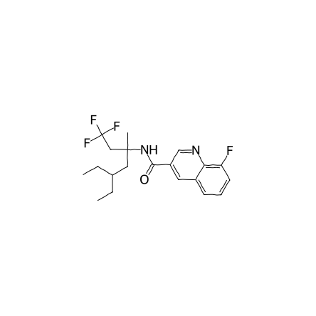 CCC(CC)CC(C)(CC(F)(F)F)NC(=O)c1cnc2c(F)cccc2c1